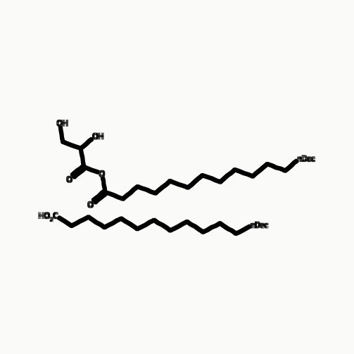 CCCCCCCCCCCCCCCCCCCCCC(=O)O.CCCCCCCCCCCCCCCCCCCCCC(=O)OC(=O)C(O)CO